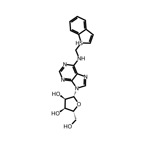 OC[C@H]1O[C@@H](n2cnc3c(NC[SH]4C=Cc5ccccc54)ncnc32)[C@H](O)[C@@H]1O